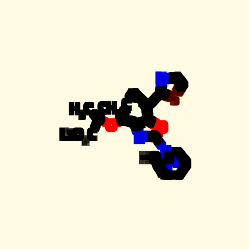 CCOC(=O)C(C)(C)Oc1ccc(-c2nccs2)c2oc(N3CC4CC(C3)N4C(=O)O)nc12